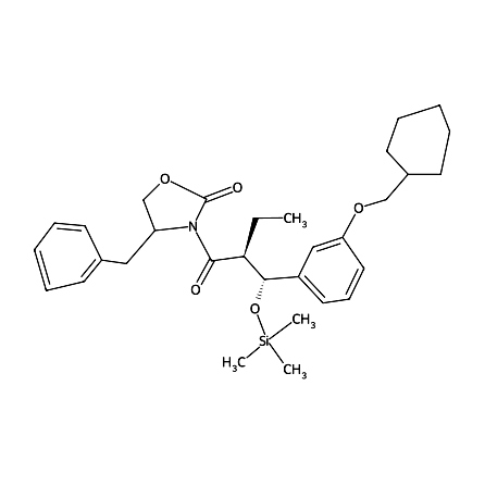 CC[C@H](C(=O)N1C(=O)OCC1Cc1ccccc1)[C@@H](O[Si](C)(C)C)c1cccc(OCC2CCCCC2)c1